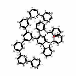 C1=CC(c2cncnc2)NC(c2cccc(-c3cc(-c4cccc(-c5cccc(-c6cncnc6)n5)c4)cc(-c4cc5c6ccccc6n(-c6ccccc6)c5c5c4c4ccccc4n5-c4ccccc4)c3)c2)=C1